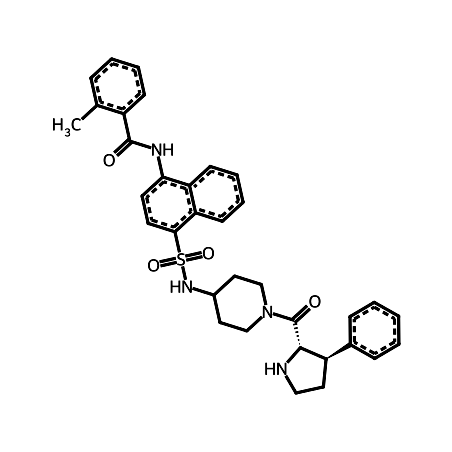 Cc1ccccc1C(=O)Nc1ccc(S(=O)(=O)NC2CCN(C(=O)[C@H]3NCC[C@@H]3c3ccccc3)CC2)c2ccccc12